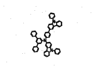 c1ccc(-c2cc(-c3ccccc3)cc(N(c3ccc(-c4ccc5c(c4)c4ccccc4n5-c4ccccc4)cc3)c3ccc4c(c3)c3ccccc3n4-c3ccccc3)c2)cc1